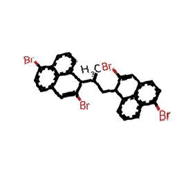 CC(CC1C(Br)=Cc2ccc(Br)c3cccc1c23)C1C(Br)=Cc2ccc(Br)c3cccc1c23